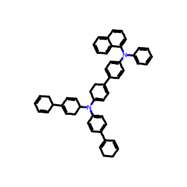 C1=CCC(C2=CCC(N(C3=CC=C(c4ccc(N(c5ccccc5)c5cccc6ccccc56)cc4)CC3)c3ccc(C4=CCCC=C4)cc3)C=C2)C=C1